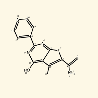 C=C(N)c1sc2nc(-c3ccncc3)nc(O)c2c1C